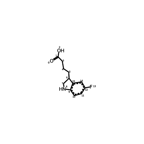 O=C(O)CCCC1CNc2ccc(F)cc21